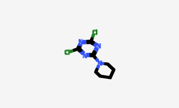 Clc1nc(Cl)nc(N2CCCCC2)n1